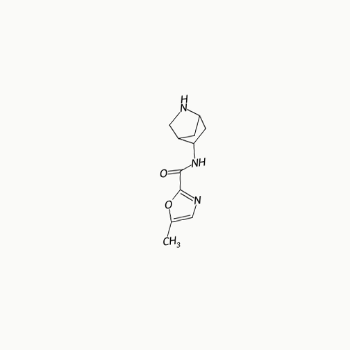 Cc1cnc(C(=O)NC2CC3CC2CN3)o1